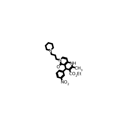 CCOC(=O)C1=C(C)Nc2ccn(CCCN3CCCCC3)c(=O)c2C1c1cccc([N+](=O)[O-])c1